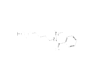 CN(C)N(CCCCC(=O)O)C(=O)c1ccccc1